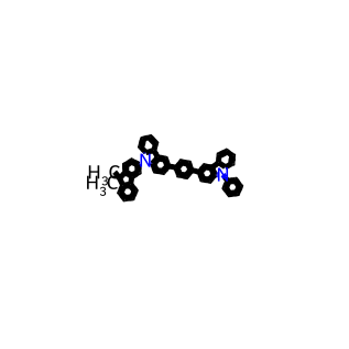 CC1(C)c2ccccc2-c2cc(N3c4ccc(-c5ccc(-c6ccc7c(c6)C6C=CC=CC6N7c6ccccc6)cc5)cc4C4C=CC=CC43)ccc21